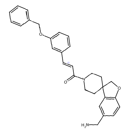 NCc1ccc2c(c1)C1(CCN(C(=O)/C=C/c3cccc(OCc4ccccc4)c3)CC1)CO2